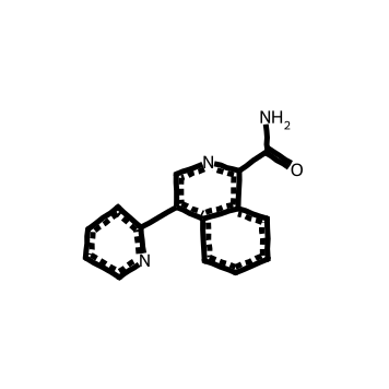 NC(=O)c1ncc(-c2ccccn2)c2ccccc12